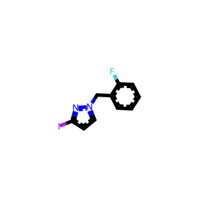 Fc1ccccc1Cn1ccc(I)n1